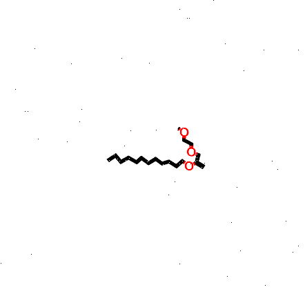 C=C(COCCOC)OCCCCCCCCCCCC